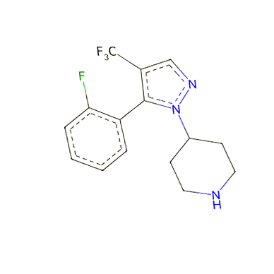 Fc1ccccc1-c1c(C(F)(F)F)cnn1C1CCNCC1